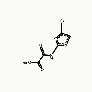 COC(=O)C(=O)Nc1ncc(Cl)s1